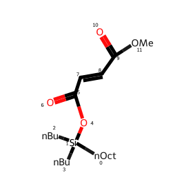 CCCCCCCC[Si](CCCC)(CCCC)OC(=O)/C=C/C(=O)OC